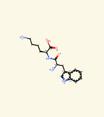 NCCCC[C@H](NC(=O)[C@H](N)Cc1c[nH]c2ccccc12)C(=O)O